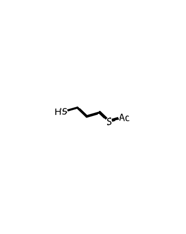 CC(=O)SCCCS